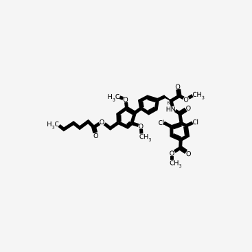 CCCCCC(=O)OCc1cc(OC)c(-c2ccc(C[C@H](NC(=O)c3c(Cl)cc(C(=O)OC)cc3Cl)C(=O)OC)cc2)c(OC)c1